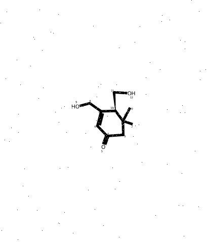 CC1(C)CC(=O)C=C(CO)[C@H]1CO